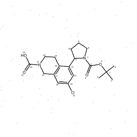 CC(C)(C)OC(=O)N1CCCC1c1cc(Cl)cc2c1CCN(C(=O)O)C2